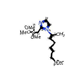 CCCCCCCCCCCCCCCC(C)n1ccnc1C[Si](OC)(OC)OC